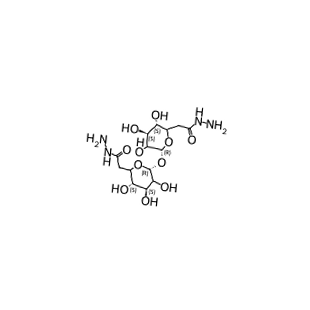 NNC(=O)CC1O[C@H](O[C@H]2OC(CC(=O)NN)[C@@H](O)[C@H](O)C2O)C(O)[C@@H](O)[C@@H]1O